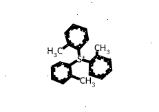 Cc1ccccc1[S+](c1ccccc1C)c1ccccc1C